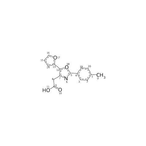 Cc1ccc(-c2nc(CC(=O)O)c(-c3ccco3)o2)cc1